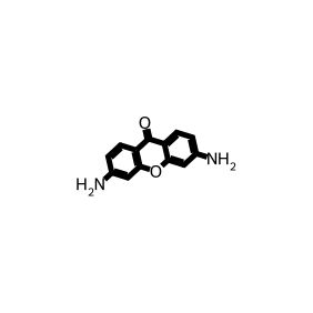 Nc1ccc2c(=O)c3ccc(N)cc3oc2c1